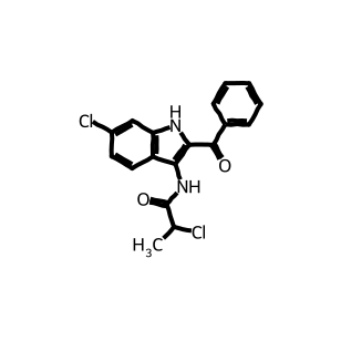 CC(Cl)C(=O)Nc1c(C(=O)c2ccccc2)[nH]c2cc(Cl)ccc12